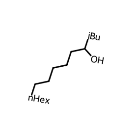 CCCCCCCCCCCC(O)C(C)CC